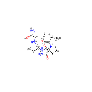 CC(C)C[C@H](NC(=O)[C@]1(C(N)=O)CCCN1c1ccccc1C(=O)O)C(=O)NCC(N)=O